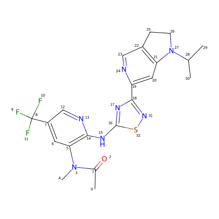 CC(=O)N(C)c1cc(C(F)(F)F)cnc1Nc1nc(-c2cc3c(cn2)CCN3C(C)C)ns1